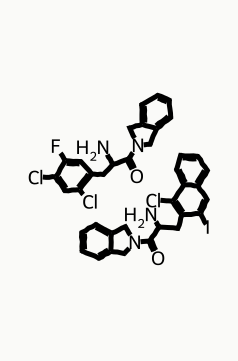 NC(Cc1c(I)cc2ccccc2c1Cl)C(=O)N1Cc2ccccc2C1.NC(Cc1cc(F)c(Cl)cc1Cl)C(=O)N1Cc2ccccc2C1